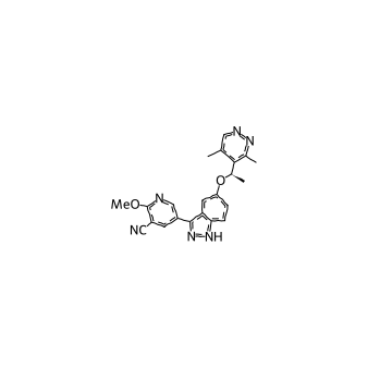 COc1ncc(-c2n[nH]c3ccc(O[C@H](C)c4c(C)cnnc4C)cc23)cc1C#N